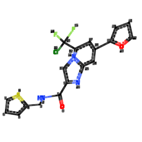 O=C(NCc1cccs1)c1cn2c(C(F)(F)Cl)cc(-c3ccco3)cc2n1